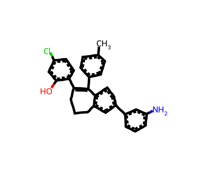 Cc1ccc(C2=C(c3ccc(Cl)cc3O)CCCc3cc(-c4cccc(N)c4)ccc32)cc1